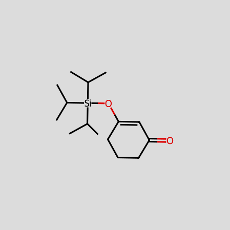 CC(C)[Si](OC1=CC(=O)CCC1)(C(C)C)C(C)C